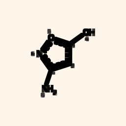 Nc1cc(O)on1